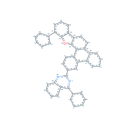 c1ccc(-c2nc(-c3ccc4c(c3)c3ccccc3c3ccc5c6cccc(-c7ccccc7)c6oc5c34)nc3ccccc23)cc1